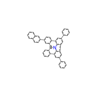 c1ccc(-c2cc3c4c(c2)c2cc(-c5ccccc5)cc5c2n4B(c2ccccc2-3)c2cc(-c3ccc4ccccc4c3)ccc2-5)cc1